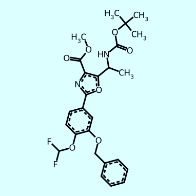 COC(=O)c1nc(-c2ccc(OC(F)F)c(OCc3ccccc3)c2)oc1C(C)NC(=O)OC(C)(C)C